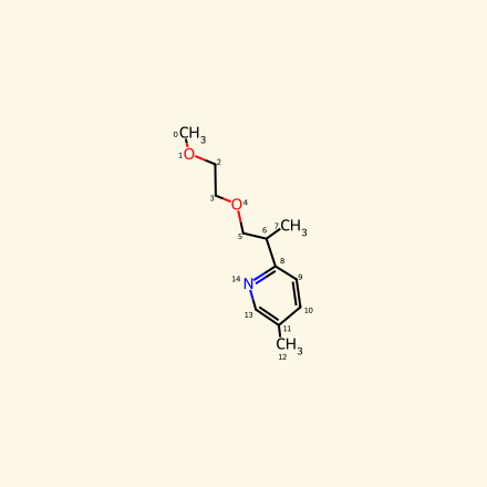 COCCOCC(C)c1ccc(C)cn1